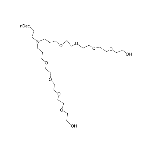 CCCCCCCCCCCCN(CCCOCCOCCOCCOCCO)CCCOCCOCCOCCOCCO